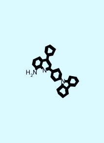 Nc1cccc2c(-c3ccccc3)cc(-c3ccc(-n4c5ccccc5c5ccccc54)cc3)nc12